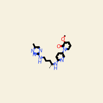 COc1cccn(-c2ccc(N[C@H](C)CCCNc3ncc(C)nn3)nc2)c1=O